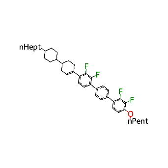 CCCCCCCC1CCC(C2CC=C(c3ccc(-c4ccc(-c5ccc(OCCCCC)c(F)c5F)cc4)c(F)c3F)CC2)CC1